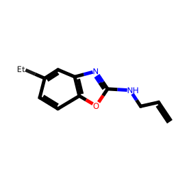 C=CCNc1nc2cc(CC)ccc2o1